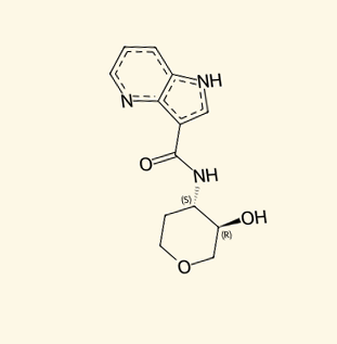 O=C(N[C@H]1CCOC[C@@H]1O)c1c[nH]c2cccnc12